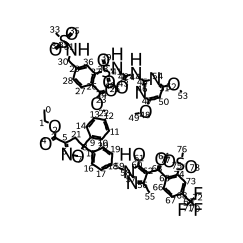 CCOC(=O)C1=NOC(c2ccccc2)(c2ccccc2)C1.COC(=O)c1ccc(CNS(C)(=O)=O)cc1S(=O)(=O)NC(=O)Nc1nc(OC)cc(OC)n1.Cc1nn(C)c(O)c1C(=O)c1ccc(C(F)(F)F)cc1S(C)(=O)=O